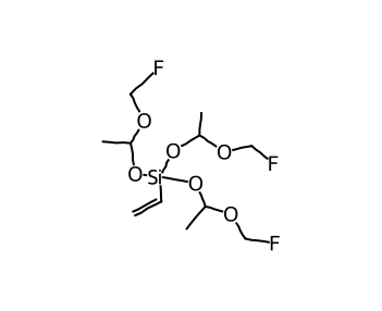 C=C[Si](OC(C)OCF)(OC(C)OCF)OC(C)OCF